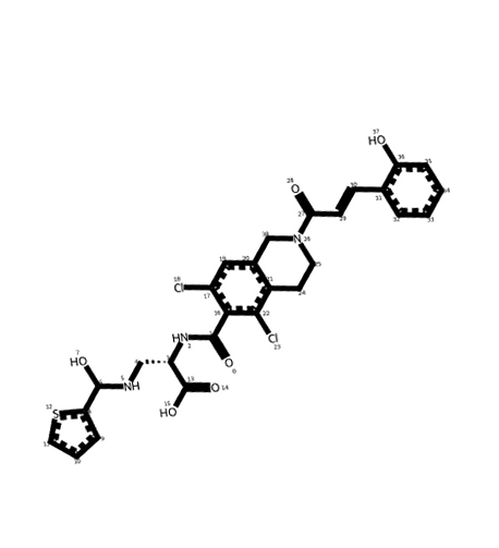 O=C(N[C@@H](CNC(O)c1cccs1)C(=O)O)c1c(Cl)cc2c(c1Cl)CCN(C(=O)/C=C/c1ccccc1O)C2